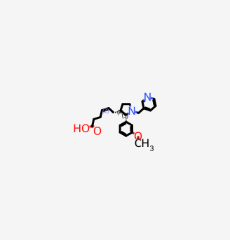 COc1cccc([C@@H]2[C@H](C/C=C\CCC(=O)O)CCN2Cc2cccnc2)c1